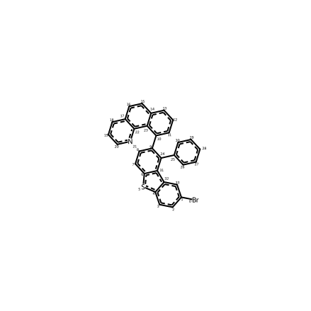 Brc1ccc2sc3ccc(-c4cccc5ccc6cccnc6c45)c(-c4ccccc4)c3c2c1